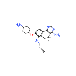 C#CCCN(C)c1c(OC2CCC(N)CC2)ccc2c1CC(C)(C)c1c(N)ncnc1-2